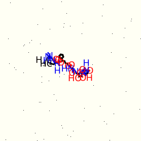 C#CCC(NC(=O)OC(CCCOC(=O)NCC(=O)NCC1OC(n2ccc(=O)[nH]c2=O)C(O)C1O)c1ccccc1)C(=O)NCC1(C)N=N1